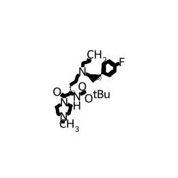 C=CCN(CCC[C@H](NC(=O)OC(C)(C)C)C(=O)N1CCN(C)CC1)C1C[C@H]1c1ccc(F)cc1